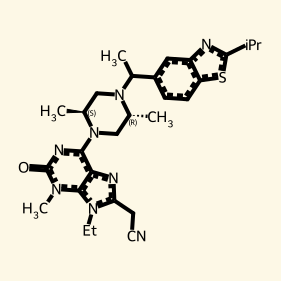 CCn1c(CC#N)nc2c(N3C[C@@H](C)N(C(C)c4ccc5sc(C(C)C)nc5c4)C[C@@H]3C)nc(=O)n(C)c21